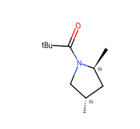 C[C@H]1C[C@H](C)N(C(=O)C(C)(C)C)C1